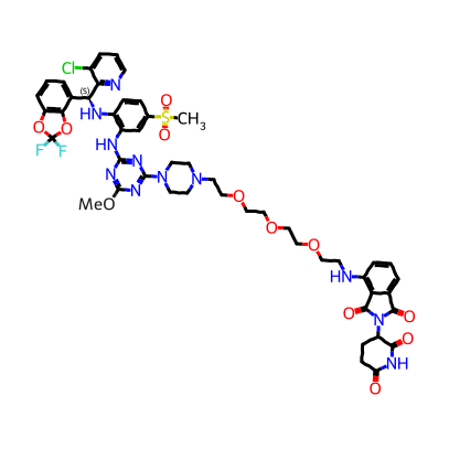 COc1nc(Nc2cc(S(C)(=O)=O)ccc2N[C@@H](c2cccc3c2OC(F)(F)O3)c2ncccc2Cl)nc(N2CCN(CCOCCOCCOCCNc3cccc4c3C(=O)N(C3CCC(=O)NC3=O)C4=O)CC2)n1